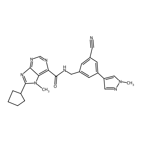 Cn1cc(-c2cc(C#N)cc(CNC(=O)c3ncnc4nc(C5CCCC5)n(C)c34)c2)cn1